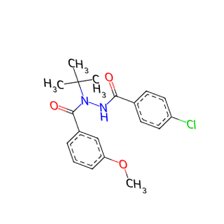 COc1cccc(C(=O)N(NC(=O)c2ccc(Cl)cc2)C(C)(C)C)c1